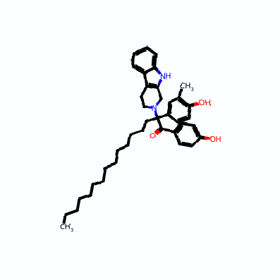 CCCCCCCCCCCCCCC(C(=O)c1ccc(O)cc1)(c1ccc(O)c(C)c1)N1CCc2c([nH]c3ccccc23)C1